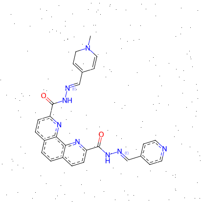 CN1C=CC(/C=N/NC(=O)c2ccc3ccc4ccc(C(=O)N/N=C/c5ccncc5)nc4c3n2)=CC1